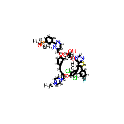 Cc1c(Cl)c2c(Cl)c(C)c1-c1c(-c3ccc(F)cc3)sc3ncnc(c13)O[C@@H](C(=O)O)Cc1cc(ccc1OCc1ccnc(-c3cccc(P(C)(C)=O)c3)n1)CC[C@@H](CN1CCN(C)CC1)O2